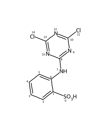 O=S(=O)(O)c1ccccc1Nc1nc(Cl)nc(Cl)n1